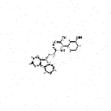 O=C(N[C@H](C(=O)O)[C@H]1CCC[C@H](O)C1)OCC1c2ccccc2-c2ccccc21